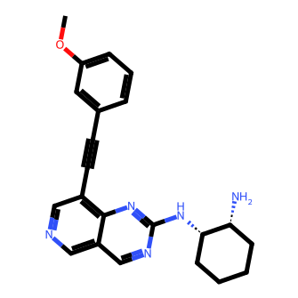 COc1cccc(C#Cc2cncc3cnc(N[C@H]4CCCC[C@H]4N)nc23)c1